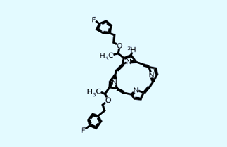 [2H]C1=C(C(C)OCCc2ccc(F)cc2)C2=CC3=NC(=CC4=NC(=CC5=NC(=CC1=N2)C=C5)C=C4)C(C(C)OCCc1ccc(F)cc1)=C3